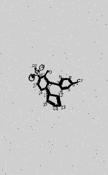 CC1=C(c2ccc(F)cc2)C(=C2C=CC=C2)CC=C1S(C)(=O)=O